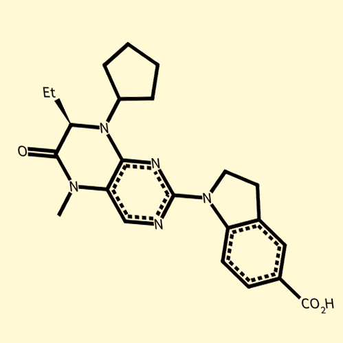 CC[C@@H]1C(=O)N(C)c2cnc(N3CCc4cc(C(=O)O)ccc43)nc2N1C1CCCC1